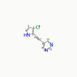 Clc1cc[nH]c1C#Cc1cncnc1